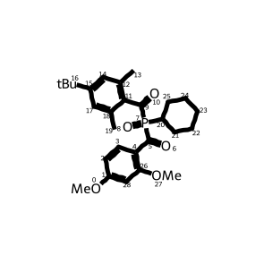 COc1ccc(C(=O)P(=O)(C(=O)c2c(C)cc(C(C)(C)C)cc2C)C2CCCCC2)c(OC)c1